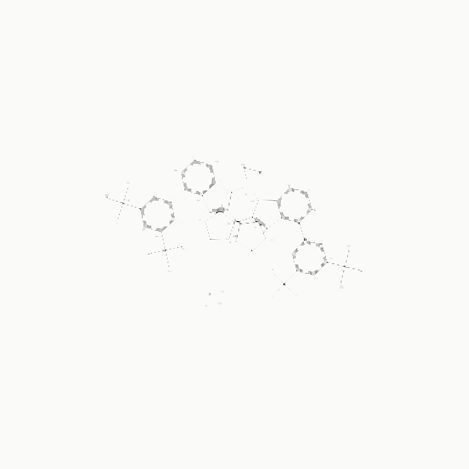 CC(C)(C)c1cc(-c2cccc3c2C=C(C2CCCC2)[CH]3[Hf]2([CH]3C(C4CCCC4)=Cc4c(-c5cc(C(C)(C)C)cc(C(C)(C)C)c5)cccc43)[CH2][CH2]2)cc(C(C)(C)C)c1.Cl.Cl